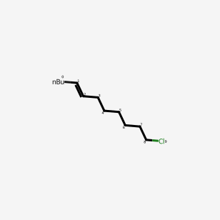 CCCC/C=C/CCCCCCCl